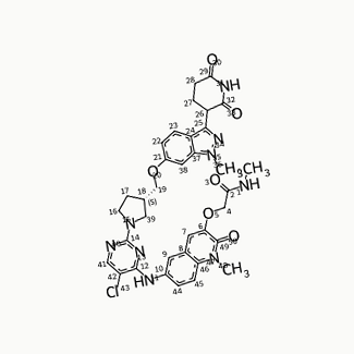 CNC(=O)COc1cc2cc(Nc3nc(N4CC[C@H](COc5ccc6c(C7CCC(=O)NC7=O)nn(C)c6c5)C4)ncc3Cl)ccc2n(C)c1=O